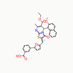 CCOC(=O)C1=C(C)N=c2s/c(=C\c3ccc(-c4cccc(C(=O)O)c4)o3)c(=O)n2C1c1c(OC)ccc2ccccc12